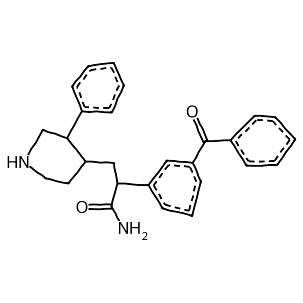 NC(=O)C(CC1CCNCC1c1ccccc1)c1cccc(C(=O)c2ccccc2)c1